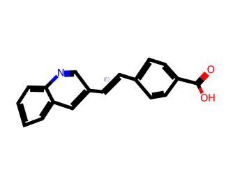 O=C(O)c1ccc(/C=C/c2cnc3ccccc3c2)cc1